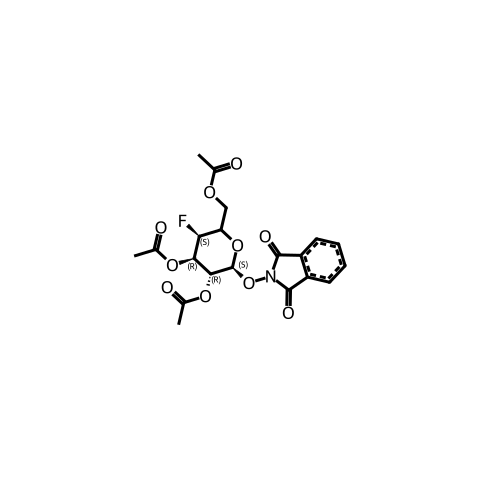 CC(=O)OCC1O[C@@H](ON2C(=O)c3ccccc3C2=O)[C@H](OC(C)=O)[C@@H](OC(C)=O)[C@H]1F